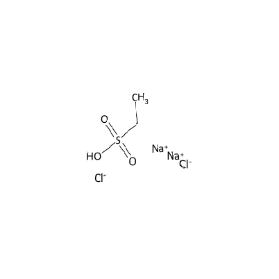 CCS(=O)(=O)O.[Cl-].[Cl-].[Na+].[Na+]